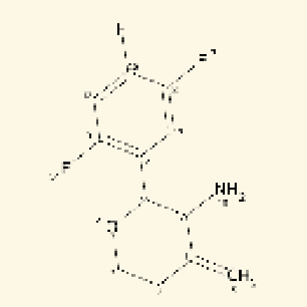 C=C1CCOC(c2cc(F)c(F)cc2F)C1N